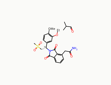 CC(C)C=O.CCOc1cc([C@@H](CS(C)(=O)=O)N2C(=O)c3cccc(CC(N)=O)c3C2=O)ccc1OC